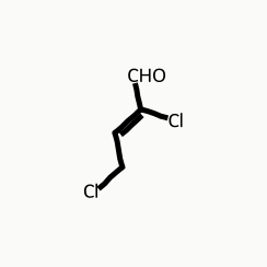 O=CC(Cl)=CCCl